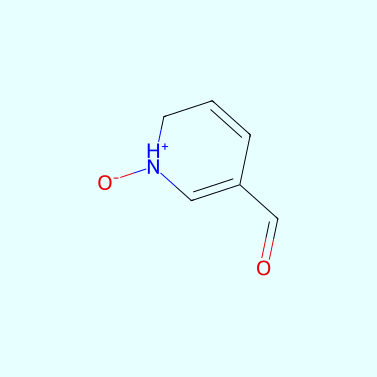 O=CC1=C[NH+]([O-])CC=C1